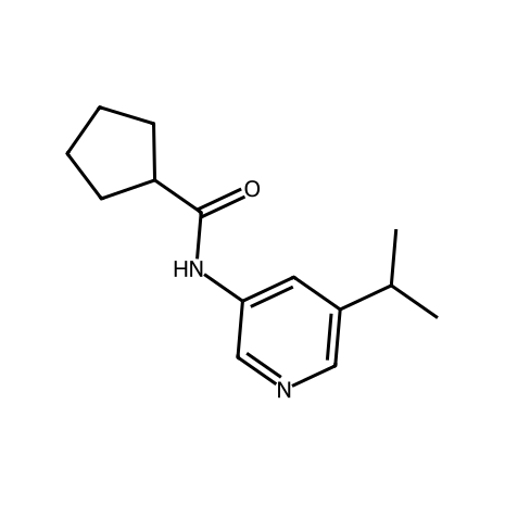 CC(C)c1cncc(NC(=O)C2CCCC2)c1